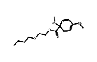 CCCCOCCOC(=O)C1(NC)C=CC(NC)=CC1